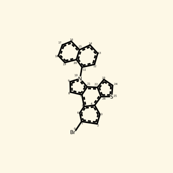 Brc1ccc2c(c1)c1ccn(-c3cccc4ccccc34)c1c1ccsc21